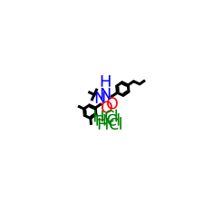 CCCc1ccc(C(=O)NN(C(=O)c2cc(C)cc(C)c2)C(C)(C)C)cc1.Cl.Cl.Cl